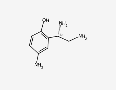 NC[C@@H](N)c1cc(N)ccc1O